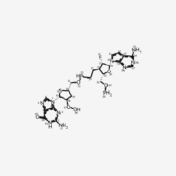 Nc1nc2c(ncn2[C@@H]2S[C@H](COPCC[C@H]3[C@H](F)[C@H](n4ccc5c(N)ncnc54)O[C@@H]3COP)C[C@H]2OO)c(=O)[nH]1